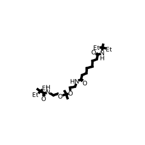 CCC(C)(CC)NC(=O)CCCCCCC(=O)NCCOC(C)(C)OCCNC(=O)C(C)(CC)CC